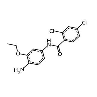 CCOc1cc(NC(=O)c2ccc(Cl)cc2Cl)ccc1N